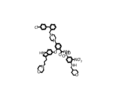 O=C(NS(=O)(=O)c1ccc(NCC2CCOCC2)c([N+](=O)[O-])c1)c1ccc(N2CCN(Cc3ccccc3-c3ccc(Cl)cc3)CC2)cc1Oc1ccc2[nH]cc(CCCN3CCOCC3)c2c1